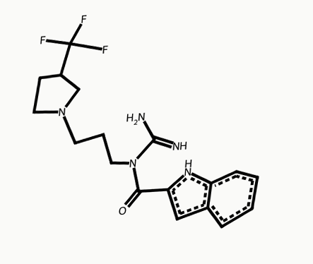 N=C(N)N(CCCN1CCC(C(F)(F)F)C1)C(=O)c1cc2ccccc2[nH]1